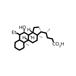 CCC1C2CCCC[C@]2(C)[C@H]2CC[C@]3(C)[C@@H]([C@H](C)CCC(=O)O)CC[C@H]3[C@@H]2[C@@H]1O